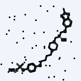 CCOC(=O)C(C)(C)Oc1ccc(OCCCCN2CCN(C[C@@H](O)COc3ccc4sc(C)nc4c3)CC2)cc1